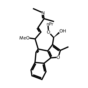 CCCO[C@@H](O)c1c(C)oc2c1c(C(/C=C/C(C)=N\C)OC)cc1ccccc12